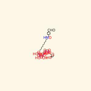 O=Cc1ccc(C(=O)NCCCCCCCCCCCOP(=O)(O)OP(=O)(O)OP(=O)(O)OP(=O)(O)OP(=O)(O)OP(=O)(O)OCC2OCC[C@H]2O)cc1